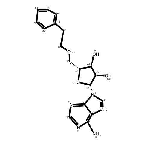 Nc1ncnc2c1ncn2[C@@H]1O[C@H](COCCc2ccccc2)[C@@H](O)[C@H]1O